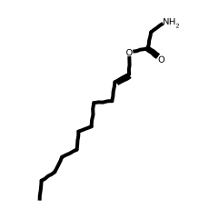 CCCCCCCCCC=COC(=O)CN